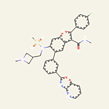 CNC(=O)c1c(-c2ccc(F)cc2)oc2cc(N(CC3CN(C)C3)S(C)(=O)=O)c(-c3cccc(-c4nc5ncccc5o4)c3)cc12